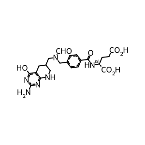 Nc1nc(O)c2c(n1)NCC(CN(C=O)Cc1ccc(C(=O)N[C@@H](CCC(=O)O)C(=O)O)cc1)C2